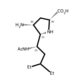 CCC(CC)C[C@H](NC(C)=O)[C@H]1N[C@@H](C(=O)O)C[C@H]1N